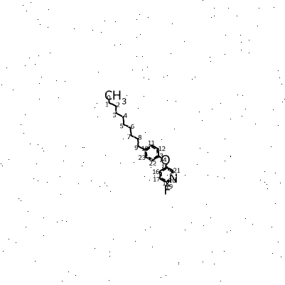 CCCCCCCCCCc1ccc(Oc2ccc(F)nc2)cc1